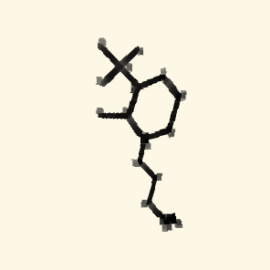 CC1C(C(C)(C)C)CCCN1CCCN